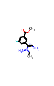 CCN(N)/C(=C\N)c1cc(F)cc(C(=O)OC)c1